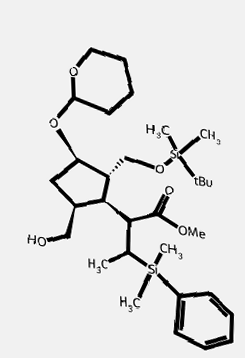 COC(=O)C(C(C)[Si](C)(C)c1ccccc1)[C@H]1[C@@H](CO)C[C@@H](OC2CCCCO2)[C@@H]1CO[Si](C)(C)C(C)(C)C